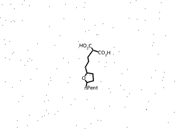 CCCCCC1CCC(CCCC(C(=O)O)C(=O)O)O1